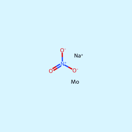 O=[N+]([O-])[O-].[Mo].[Na+]